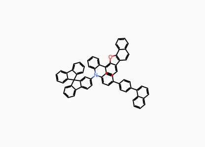 c1ccc(N(c2ccc(-c3ccc(-c4cccc5ccccc45)cc3)cc2)c2ccc3c(c2)C2(c4ccccc4-c4ccccc42)c2ccccc2-3)c(-c2cccc3c2oc2c4ccccc4ccc32)c1